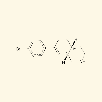 Brc1ccc(C2=C[C@H]3CNCC[C@H]3CC2)cn1